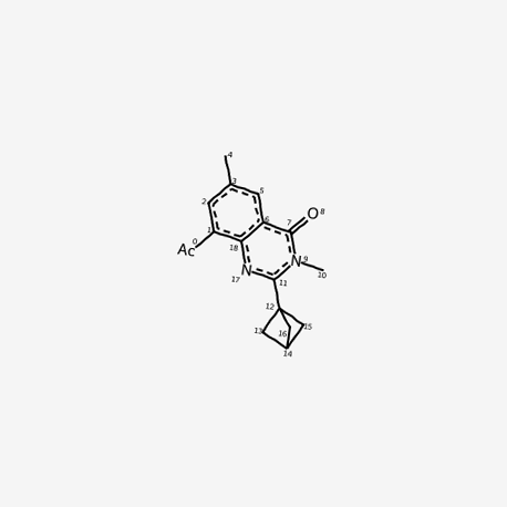 CC(=O)c1cc(C)cc2c(=O)n(C)c(C34CC(C3)C4)nc12